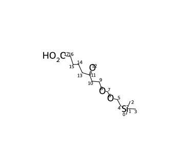 C[Si](C)(C)CCOCOCCC(=O)CCCCC(=O)O